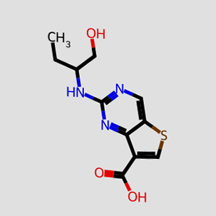 CCC(CO)Nc1ncc2scc(C(=O)O)c2n1